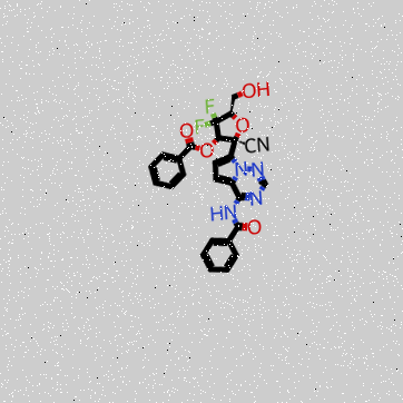 N#C[C@@]1(c2ccc3c(NC(=O)c4ccccc4)ncnn23)O[C@H](CO)C(F)(F)C1OC(=O)c1ccccc1